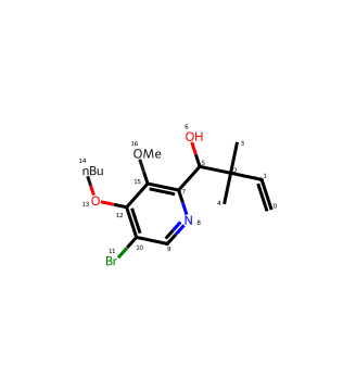 C=CC(C)(C)C(O)c1ncc(Br)c(OCCCC)c1OC